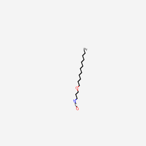 CC(C)CCCCCCCCCCCOCCCN=C=O